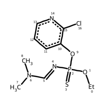 CCOP(=S)(N=CN(C)C)Oc1cccnc1Cl